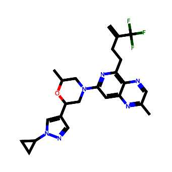 C=C(CCc1nc(N2CC(C)OC(c3cnn(C4CC4)c3)C2)cc2nc(C)cnc12)C(F)(F)F